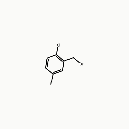 Fc1ccc(Cl)c(CBr)c1